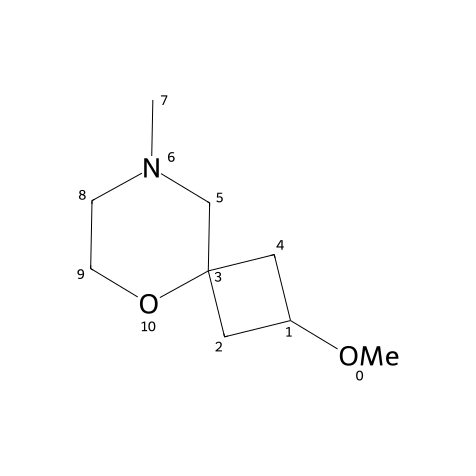 COC1CC2(C1)CN(C)CCO2